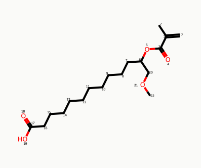 C=C(C)C(=O)OC(CCCCCCCCCCC(=O)O)COC